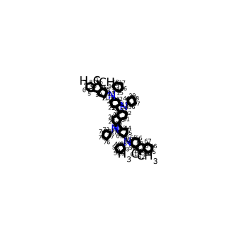 CC1(C)C2=C(C=CCC2)c2ccc(N(c3ccccc3)c3ccc4c5c6ccc7c(c6ccc5n(-c5ccccc5)c4c3)c3ccc(N(c4ccccc4)c4ccc5c(c4)C(C)(C)c4ccccc4-5)cc3n7-c3ccccc3)cc21